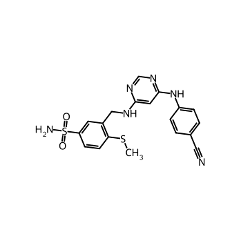 CSc1ccc(S(N)(=O)=O)cc1CNc1cc(Nc2ccc(C#N)cc2)ncn1